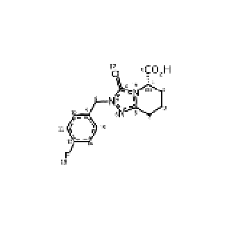 O=C(O)[C@@H]1CCCc2nn(Cc3ccc(F)cc3)c(=O)n21